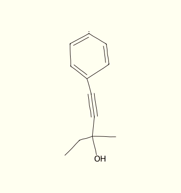 CCC(C)(O)C#Cc1cc[c]cc1